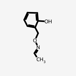 CC=NOCc1ccccc1O